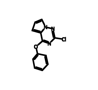 Clc1nc(Oc2ccccc2)c2cccn2n1